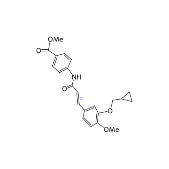 COC(=O)c1ccc(NC(=O)/C=C/c2ccc(OC)c(OCC3CC3)c2)cc1